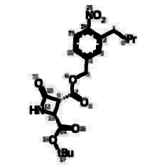 CC(C)Cc1cc(COC(=O)[C@H]2C(=O)N[C@@H]2C(=O)OC(C)(C)C)ccc1[N+](=O)[O-]